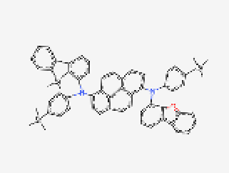 C[Si](C)(C)c1ccc(N(c2cccc3c2[Si](C)(C)c2ccccc2-3)c2ccc3ccc4c(N(c5ccc([Si](C)(C)C)cc5)c5cccc6c5oc5ccccc56)ccc5ccc2c3c54)cc1